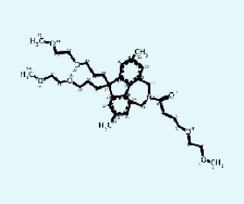 COCCOCCCC(=O)N1Cc2cc(C)cc3c2-c2c(cc(C)cc2C3(CCCOCCOC)CCCOCCOC)C1